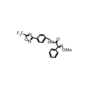 CO/N=C(/C(=O)NCc1ccc(-c2noc(C(F)(F)F)n2)cc1)c1ccccc1